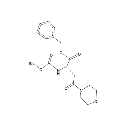 CC(C)(C)OC(=O)N[C@@H](CC(=O)N1CCOCC1)C(=O)OCc1ccccc1